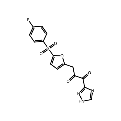 O=C(Cc1ccc(S(=O)(=O)c2ccc(F)cc2)o1)C(=O)c1nc[nH]n1